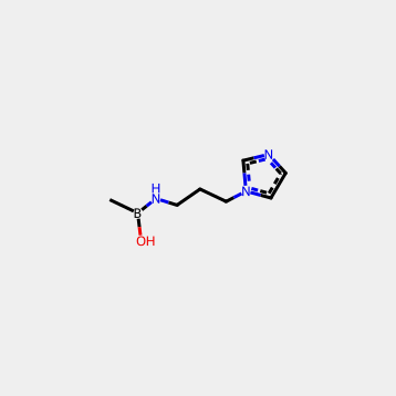 CB(O)NCCCn1ccnc1